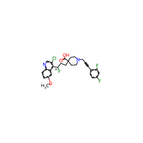 COc1ccc2ncc(Cl)c([C@H](F)CCC3(C(=O)O)CCN(CC#Cc4ccc(F)cc4F)CC3)c2c1